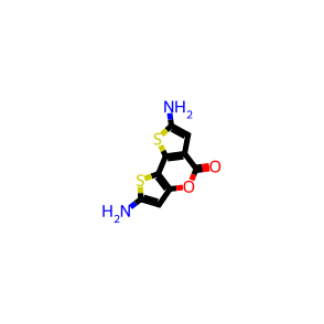 Nc1cc2oc(=O)c3cc(N)sc3c2s1